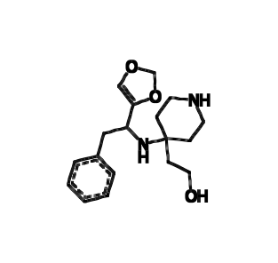 OCCC1(NC(Cc2ccccc2)C2=COCO2)CCNCC1